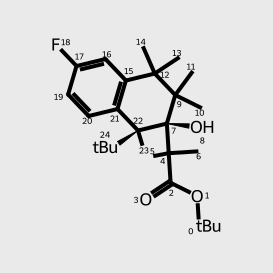 CC(C)(C)OC(=O)C(C)(C)[C@@]1(O)C(C)(C)C(C)(C)c2cc(F)ccc2[C@]1(C)C(C)(C)C